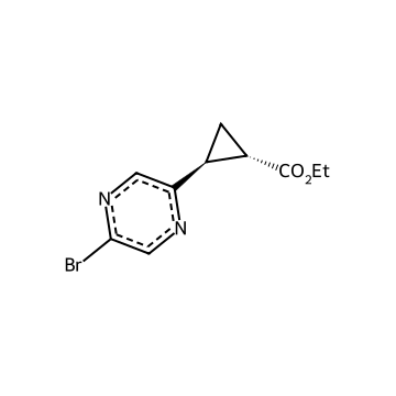 CCOC(=O)[C@H]1C[C@@H]1c1cnc(Br)cn1